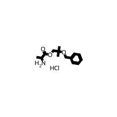 CC(N)C(=O)OCC(C)(C)OCc1ccccc1.Cl